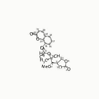 COC([C@H]1COC(=O)O1)C(C)(C)OC(C)Oc1cccc2ccc(=O)oc12